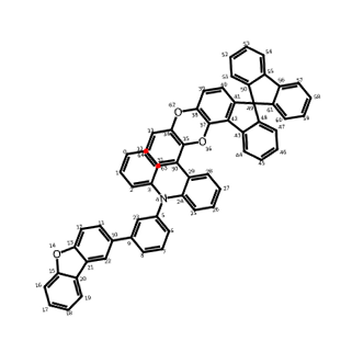 c1ccc(N(c2cccc(-c3ccc4oc5ccccc5c4c3)c2)c2ccccc2-c2cccc3c2Oc2c(ccc4c2-c2ccccc2C42c4ccccc4-c4ccccc42)O3)cc1